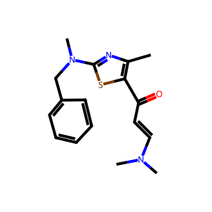 Cc1nc(N(C)Cc2ccccc2)sc1C(=O)C=CN(C)C